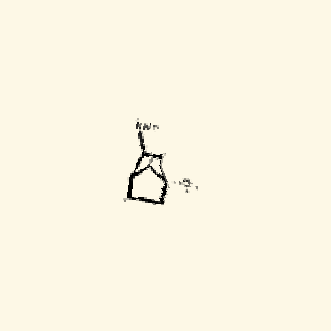 CNC1C[C@@]2(C)CCC1C2